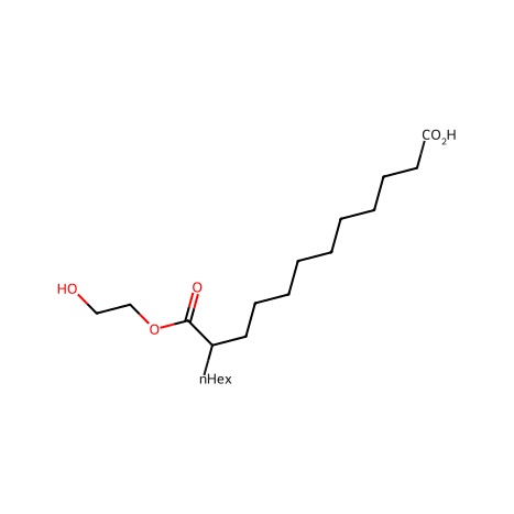 CCCCCCC(CCCCCCCCCC(=O)O)C(=O)OCCO